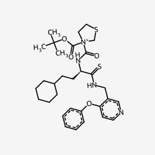 CC(C)(C)OC(=O)[N+]1(C(=O)N[C@H](CCC2CCCCC2)C(=S)NCc2cnccc2Oc2ccccc2)CCSC1